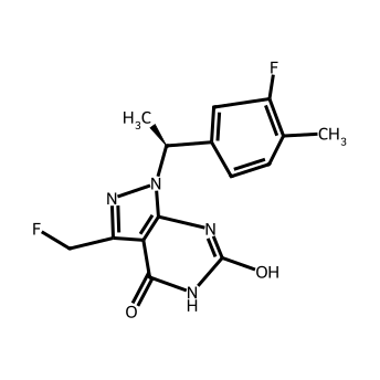 Cc1ccc([C@H](C)n2nc(CF)c3c(=O)[nH]c(O)nc32)cc1F